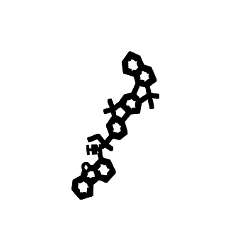 CCC(C)(Nc1cccc2c1oc1ccccc12)c1ccc2c(c1)C(C)(C)c1cc3c(cc1-2)C(C)(C)c1ccc2ccccc2c1-3